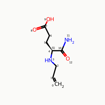 C=CCN[C@@H](CCC(=O)O)C(N)=O